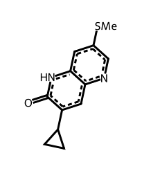 CSc1cnc2cc(C3CC3)c(=O)[nH]c2c1